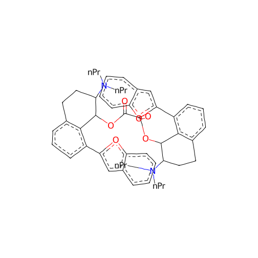 CCCN(CCC)C1CCc2cccc(-c3cc4ccccc4o3)c2C1OC(=O)C(=O)OC1c2c(cccc2-c2cc3ccccc3o2)CCC1N(CCC)CCC